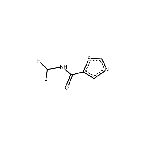 O=C(NC(F)F)c1cncs1